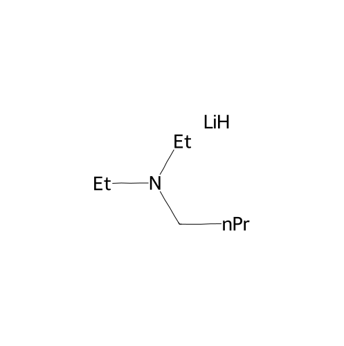 [CH2]CCCN(CC)CC.[LiH]